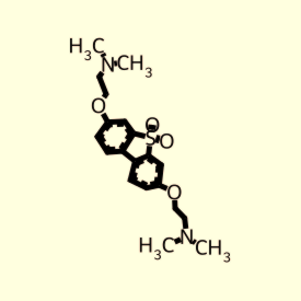 CN(C)CCOc1ccc2c(c1)S(=O)(=O)c1cc(OCCN(C)C)ccc1-2